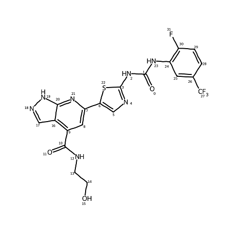 O=C(Nc1ncc(-c2cc(C(=O)NCCO)c3cn[nH]c3n2)s1)Nc1cc(C(F)(F)F)ccc1F